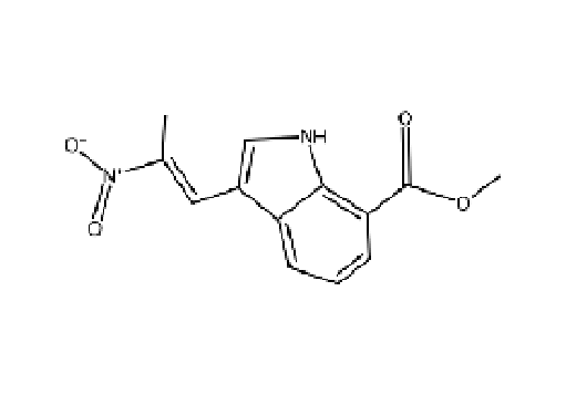 COC(=O)c1cccc2c(/C=C(\C)[N+](=O)[O-])c[nH]c12